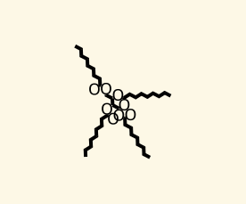 CCCCCCCCC(=O)OCC(OC(=O)CCCCCCCC)C(COC(=O)CCCCCCCC)OC(=O)CCCCCCCC